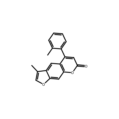 Cc1ccccc1-c1cc(=O)oc2cc3occ(C)c3cc12